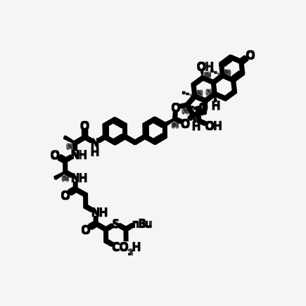 CCCCC(C)SC(CC(=O)O)C(=O)NCCC(=O)N[C@@H](C)C(=O)N[C@@H](C)C(=O)Nc1cccc(Cc2ccc([C@@H]3O[C@@H]4CC5[C@@H]6CCC7=CC(=O)C=C[C@]7(C)C6[C@@H](O)C[C@]5(C)[C@]4(C(=O)CO)O3)cc2)c1